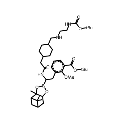 COc1c(CC(NC(=O)CC2CCC(CNCCNC(=O)OC(C)(C)C)CC2)B2OC3CC4CC(C4(C)C)C3(C)O2)cccc1C(=O)OC(C)(C)C